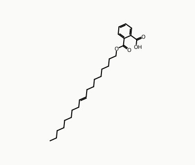 CCCCCCCCC=CCCCCCCCCOC(=O)c1ccccc1C(=O)O